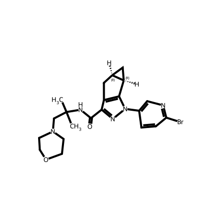 CC(C)(CN1CCOCC1)NC(=O)c1nn(-c2ccc(Br)nc2)c2c1C[C@H]1C[C@@H]21